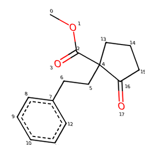 COC(=O)C1(CCc2ccccc2)CCCC1=O